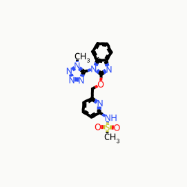 Cn1nnnc1-n1c(OCc2cccc(NS(C)(=O)=O)n2)nc2ccccc21